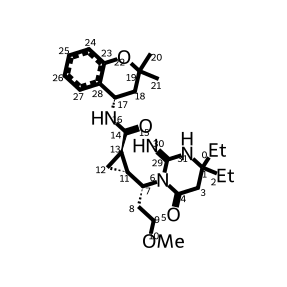 CCC1(CC)CC(=O)N([C@H](CCOC)[C@@H]2C[C@H]2C(=O)N[C@H]2CC(C)(C)Oc3ccccc32)C(=N)N1